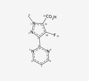 Cn1nc(-c2ncccn2)c(F)c1C(=O)O